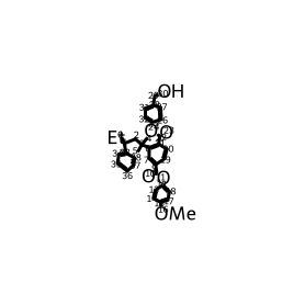 CCC(CC(C)(C)c1cc(C(=O)Oc2ccc(OC)cc2)ccc1C(=O)Oc1ccc(CO)cc1)c1ccccc1